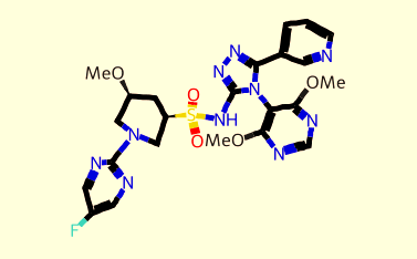 COc1ncnc(OC)c1-n1c(NS(=O)(=O)[C@@H]2C[C@H](OC)CN(c3ncc(F)cn3)C2)nnc1-c1cccnc1